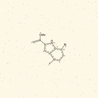 COC(=O)c1cc2c(F)ccc(Br)c2[nH]1